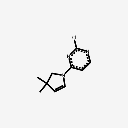 CC1(C)C=CN(c2ccnc(Cl)n2)C1